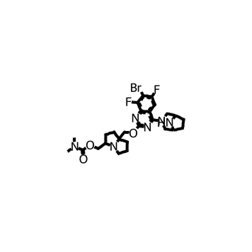 CN(C)C(=O)OCC1CCC2(COc3nc(N4CC5CCC(C4)N5)c4cc(F)c(Br)c(F)c4n3)CCCN12